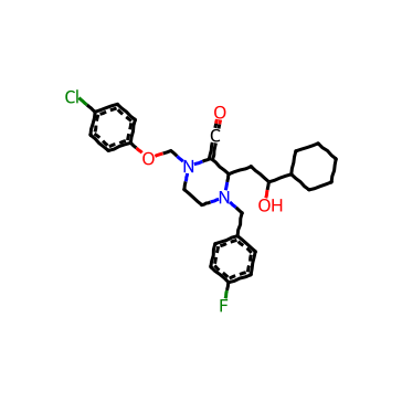 O=C=C1C(CC(O)C2CCCCC2)N(Cc2ccc(F)cc2)CCN1COc1ccc(Cl)cc1